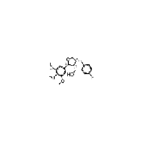 COc1cc([C@H]2OC[C@H](Cc3ccc(F)cc3)[C@@H]2CO)cc(OC)c1OC